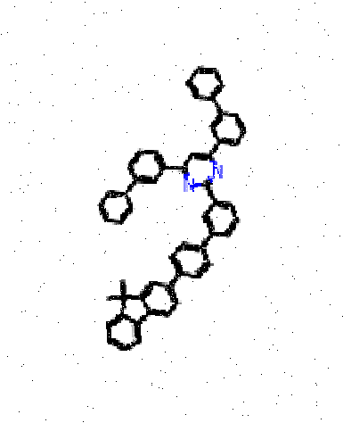 CC1(C)c2ccccc2-c2ccc(-c3ccc(-c4cccc(-c5nc(-c6cccc(-c7ccccc7)c6)cc(-c6cccc(-c7ccccc7)c6)n5)c4)cc3)cc21